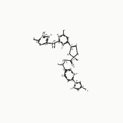 Cc1cc([C@H]2CC[C@](C)(C(=O)NC(C)c3ccc(-n4cc(F)cn4)nc3)C2)nc(Nc2cc(C)[nH]n2)n1